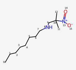 CCCCCCCCNCC(C)(C)[N+](=O)[O-]